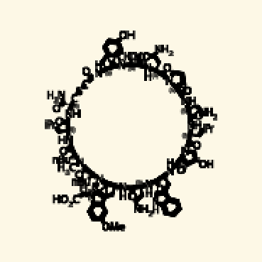 CCCC[C@H]1C(=O)N(C)[C@@H](CCCC)C(=O)N[C@@H](CC(C)C)C(=O)N[C@H](C(N)=O)CSCC(=O)N[C@@H](Cc2ccc(O)cc2)C(=O)N(C)[C@@H](C)C(=O)N[C@@H](CC(N)=O)C(=O)N2CCC[C@H]2C(=O)N[C@@H](CN)C(=O)N[C@@H](CC(C)C)C(=O)N2C[C@H](O)C[C@H]2C(=O)N[C@@H](Cc2c[nH]c3ccccc23)C(=O)N[C@@H](CCN)C(=O)N[C@@H](Cc2cn(CC(=O)O)c3ccc(OC)cc23)C(=O)N1C